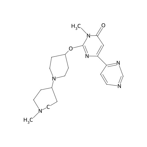 CN1CCC(N2CCC(Oc3nc(-c4ccncn4)cc(=O)n3C)CC2)CC1